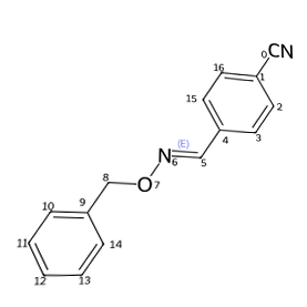 N#Cc1ccc(/C=N/OCc2ccccc2)cc1